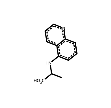 CC(Nc1cccc2ncccc12)C(=O)O